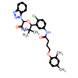 Cc1ccc(OCCCC(=O)Nc2ccc(Cl)c(C(OC(C(N)=O)n3nnc4ccccc43)C(C)(C)C)c2)c(C)c1